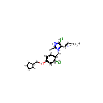 Cc1nc(Cl)c(/C=C/C(=O)O)n1Cc1ccc(OCC2CCCC2)cc1Cl